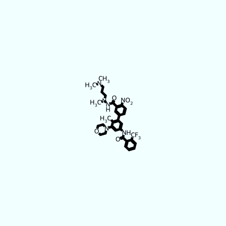 Cc1c(-c2ccc([N+](=O)[O-])c(C(=O)NN(C)CCCN(C)C)c2)cc(NC(=O)c2ccccc2C(F)(F)F)cc1N1CCOCC1